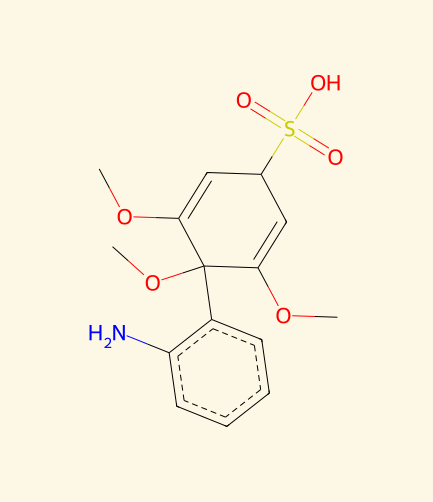 COC1=CC(S(=O)(=O)O)C=C(OC)C1(OC)c1ccccc1N